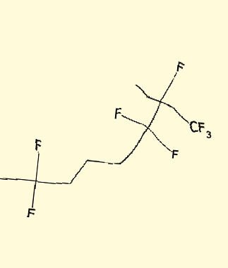 CCC(F)(F)CCCC(F)(F)C(C)(F)C(F)(F)F